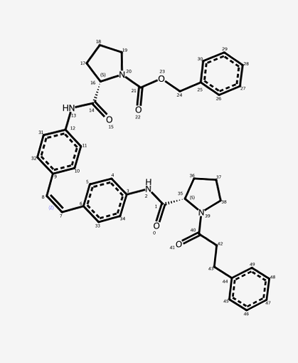 O=C(Nc1ccc(/C=C\c2ccc(NC(=O)[C@@H]3CCCN3C(=O)OCc3ccccc3)cc2)cc1)[C@@H]1CCCN1C(=O)CCc1ccccc1